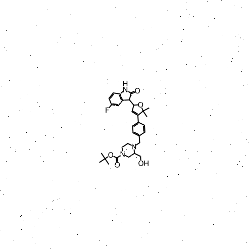 CC(C)(C)OC(=O)N1CCN(Cc2ccc(C3=CC(C4C(=O)Nc5ccc(F)cc54)OC3(C)C)cc2)C(CO)C1